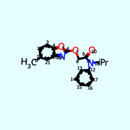 Cc1ccc2oc(OCC(=O)N(c3ccccc3)C(C)C)nc2c1